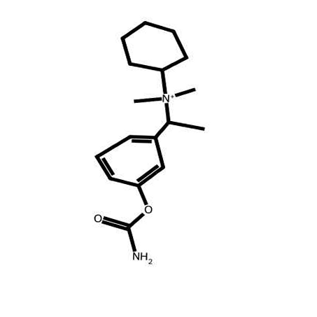 CC(c1cccc(OC(N)=O)c1)[N+](C)(C)C1CCCCC1